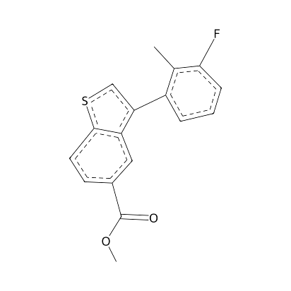 COC(=O)c1ccc2scc(-c3cccc(F)c3C)c2c1